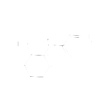 C=CC(=O)OC1CCCCC1O